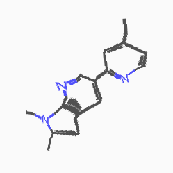 Cc1ccnc(-c2cnc3c(c2)cc(C)n3C)c1